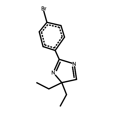 CCC1(CC)C=NC(c2ccc(Br)cc2)=N1